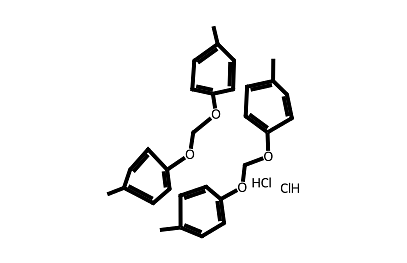 Cc1ccc(OCOc2ccc(C)cc2)cc1.Cc1ccc(OCOc2ccc(C)cc2)cc1.Cl.Cl